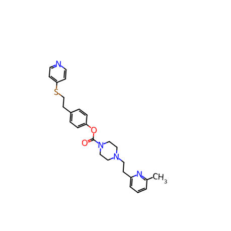 Cc1cccc(CCN2CCN(C(=O)Oc3ccc(CCSc4ccncc4)cc3)CC2)n1